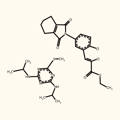 CCOC(=O)/C(Cl)=C/c1cc(N2C(=O)C3=C(CCCC3)C2=O)ccc1Cl.CSc1nc(NC(C)C)nc(NC(C)C)n1